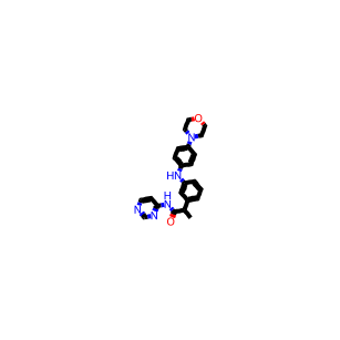 CC(C(=O)Nc1ccncn1)c1cccc(Nc2ccc(N3CCOCC3)cc2)c1